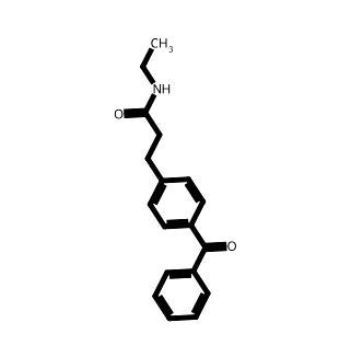 CCNC(=O)CCc1ccc(C(=O)c2ccccc2)cc1